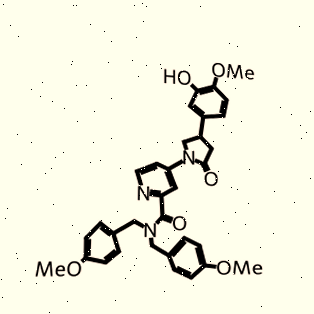 COc1ccc(CN(Cc2ccc(OC)cc2)C(=O)c2cc(N3CC(c4ccc(OC)c(O)c4)CC3=O)ccn2)cc1